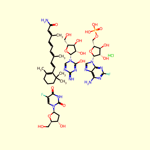 CC1=C(/C=C/C(C)=C/C=C/C(C)=C/C(N)=O)C(C)(C)CCC1.Cl.N=c1ncn([C@@H]2O[C@H](CO)[C@@H](O)[C@@H]2O)c(O)n1.Nc1nc(F)nc2c1ncn2[C@@H]1O[C@H](COP(=O)(O)O)[C@@H](O)[C@@H]1O.O=c1[nH]c(=O)n([C@H]2C[C@H](O)[C@@H](CO)O2)cc1F